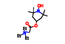 CC[N+](CC)(CC)CC(=O)OC1CC(C)(C)N(O)C(C)(C)C1